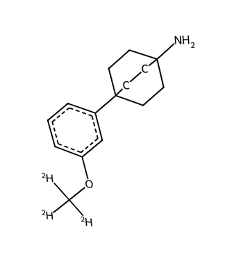 [2H]C([2H])([2H])Oc1cccc(C23CCC(N)(CC2)CC3)c1